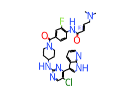 CN(C)C/C=C/C(=O)Nc1ccc(C(=O)N2CCC(Nc3ncc(Cl)c(-c4c[nH]c5ncccc45)n3)CC2)cc1F